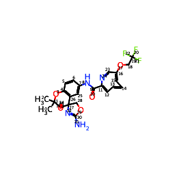 CC1(C)Oc2ccc(NC(=O)C3=C/C=C/C=C(OCC(F)(F)F)/C=N\3)cc2C2(COC(N)=N2)C12COC2